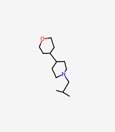 CC(C)CN1CCC(C2CCOCC2)CC1